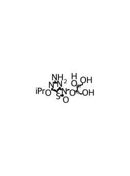 CC(C)Oc1nc(N)nc2c1sc(=O)n2CO[C@H](CO)[C@@H](O)CO